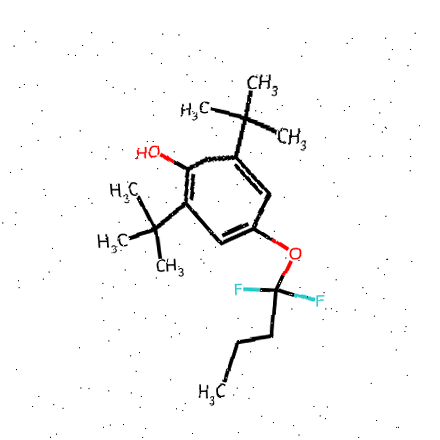 CCCC(F)(F)Oc1cc(C(C)(C)C)c(O)c(C(C)(C)C)c1